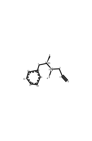 C#CCN(I)[C@H](C)Cc1ccccc1